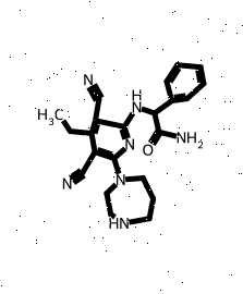 CCc1c(C#N)c(NC(C(N)=O)c2ccccc2)nc(N2CCCNCC2)c1C#N